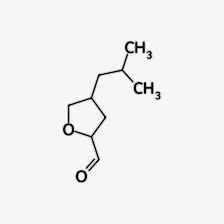 CC(C)CC1COC(C=O)C1